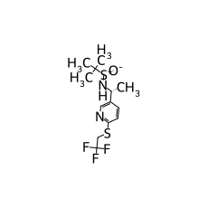 C[C@@H](N[S+]([O-])C(C)(C)C)c1ccc(SCC(F)(F)F)nc1